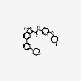 CN1CCC(Oc2ccc(NC(=O)c3n[nH]c4ccc(-c5cncc(N6CCOCC6)c5)cc34)cn2)CC1